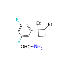 CCC1CCC1(CC)c1cc(F)cc(F)c1.NC=O